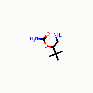 CC(C)(C)C(CN)OC(N)=O